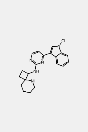 Cln1cc(-c2ccnc(NC3CCC34CCCCN4)n2)c2ccccc21